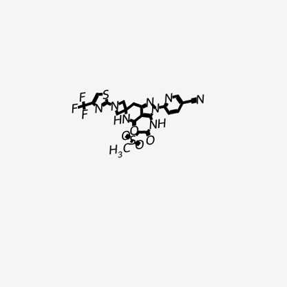 CS(=O)(=O)CC(=O)Nc1c2c(nn1-c1ccc(C#N)cn1)CC1(CN(c3nc(C(F)(F)F)cs3)C1)NC2=O